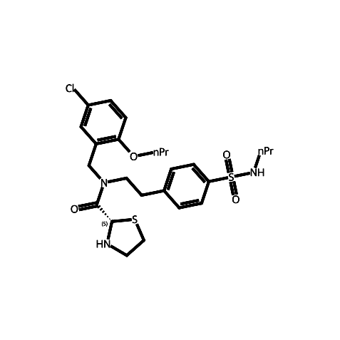 CCCNS(=O)(=O)c1ccc(CCN(Cc2cc(Cl)ccc2OCCC)C(=O)[C@H]2NCCS2)cc1